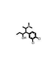 CCC(O)C(c1ccc(Cl)c(Cl)c1)C(C)N(C)C